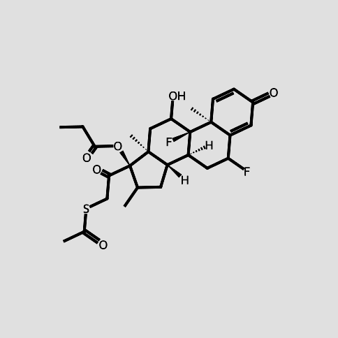 CCC(=O)O[C@]1(C(=O)CSC(C)=O)C(C)C[C@H]2[C@@H]3CC(F)C4=CC(=O)C=C[C@]4(C)[C@@]3(F)C(O)C[C@@]21C